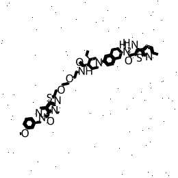 CC[C@H]1CN(c2ccc3c(c2)CC[C@H](NC(=O)c2sc4nc(C)ccc4c2N)C3)CCC1C(=O)NCCOCCOCc1nc2c(s1)c1cnn(Cc3cccc(OC)c3)c(=O)c1n2C